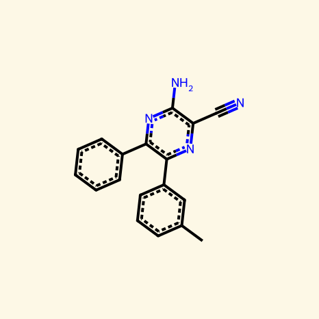 Cc1cccc(-c2nc(C#N)c(N)nc2-c2ccccc2)c1